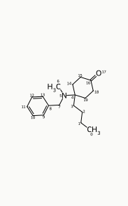 CCCCC1(N(C)Cc2ccccc2)CCC(=O)CC1